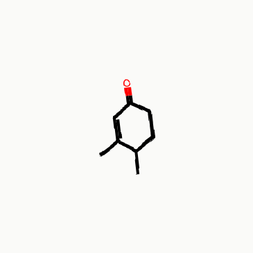 CC1=CC(=O)CCC1C